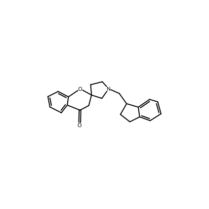 O=C1CC2(CCN(CC3CCc4ccccc43)C2)Oc2ccccc21